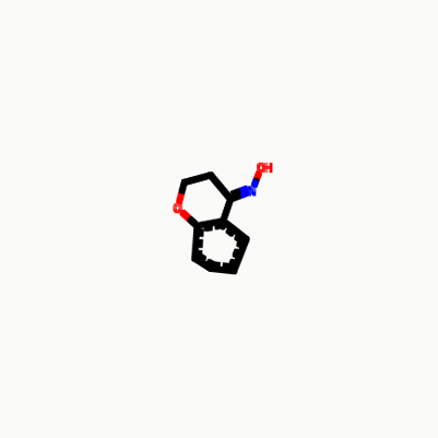 O/N=C1\CCOc2c[c]ccc21